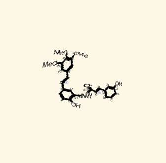 COc1cc(/C=C/c2ccc(O)c(NC(=O)/C=C/c3cccc(O)c3)c2)cc(OC)c1OC